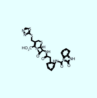 O=C(Cc1ccccc1NC(=O)n1c(=O)[nH]c2ccccc21)NC1C(=O)N2C(C(=O)O)=C(CSc3nncs3)CS[C@H]12